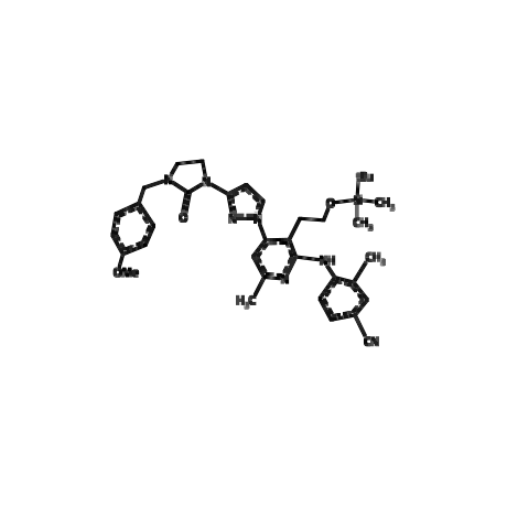 COc1ccc(CN2CCN(c3ccn(-c4cc(C)nc(Nc5ccc(C#N)cc5C)c4CCO[Si](C)(C)C(C)(C)C)n3)C2=O)cc1